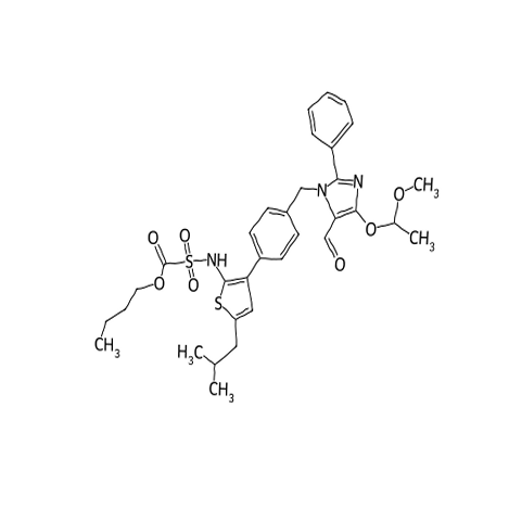 CCCCOC(=O)S(=O)(=O)Nc1sc(CC(C)C)cc1-c1ccc(Cn2c(-c3ccccc3)nc(OC(C)OC)c2C=O)cc1